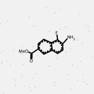 COC(=O)c1ccc2c(F)c(N)ccc2c1